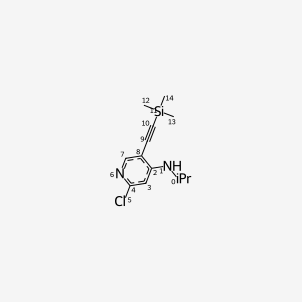 CC(C)Nc1cc(Cl)ncc1C#C[Si](C)(C)C